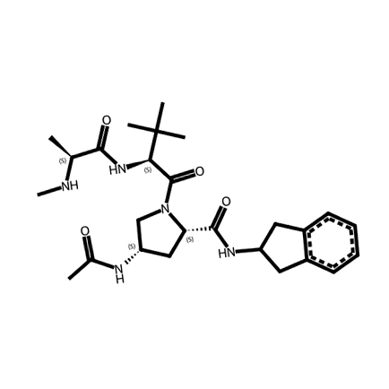 CN[C@@H](C)C(=O)N[C@H](C(=O)N1C[C@@H](NC(C)=O)C[C@H]1C(=O)NC1Cc2ccccc2C1)C(C)(C)C